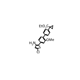 CCOC(=O)C1(c2ccc(-c3ccc(-c4sc(Cl)cc4N)cc3OC)cc2)CC1